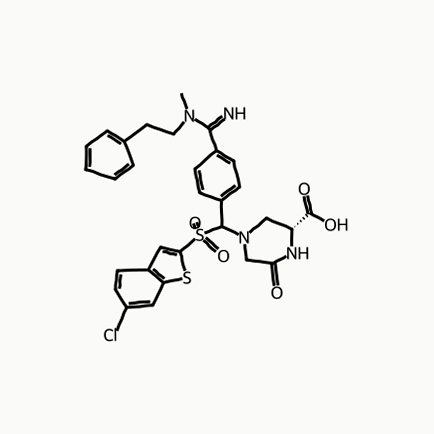 CN(CCc1ccccc1)C(=N)c1ccc(C(N2CC(=O)N[C@@H](C(=O)O)C2)S(=O)(=O)c2cc3ccc(Cl)cc3s2)cc1